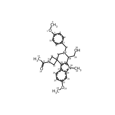 COc1ccc(CN2CC3(CN(C(C)=O)C3)c3c(n(C)c4cc(OC)ccc34)C2CO)cc1